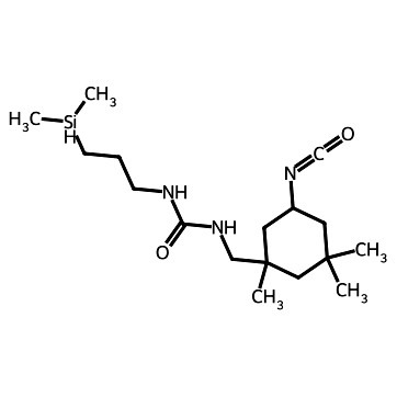 C[SiH](C)CCCNC(=O)NCC1(C)CC(N=C=O)CC(C)(C)C1